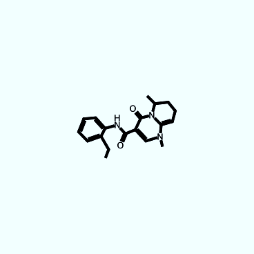 CCc1ccccc1NC(=O)C1=CN(C)C2=CCCC(C)N2C1=O